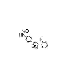 CC(=O)Nc1ccc(-c2cc(-c3ccccc3F)no2)cc1